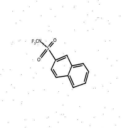 O=S(=O)(NC(F)(F)F)c1ccc2ccccc2c1